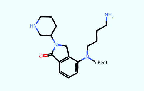 CCCCCN(CCCCN)c1cccc2c1CN(C1CCCNC1)C2=O